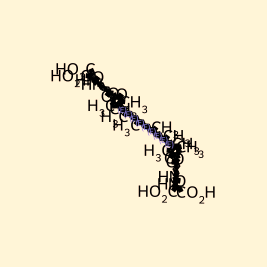 CC1=C(/C=C/C(C)=C/C=C/C(C)=C/C=C/C=C(C)/C=C/C=C(C)/C=C/C2=C(C)C(=O)C(OC(=O)CCCNC(=O)NC(CC(=O)O)C(=O)O)CC2(C)C)C(C)(C)CC(OC(=O)CCCNC(=O)NC(CC(=O)O)C(=O)O)C1=O